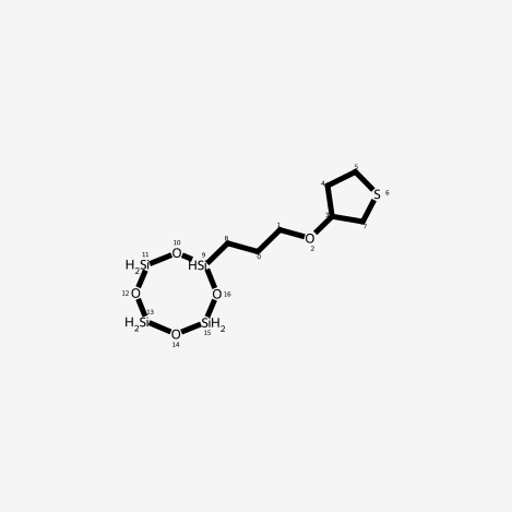 C(COC1CCSC1)C[SiH]1O[SiH2]O[SiH2]O[SiH2]O1